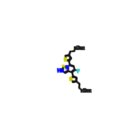 CCCCCCCCCCCCc1csc(C2=CC(F)=C(c3cc(CCCCCCCCCCCC)cs3)C3=CNSN32)c1